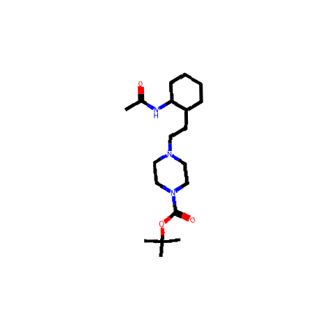 CC(=O)NC1CCCCC1CCN1CCN(C(=O)OC(C)(C)C)CC1